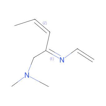 C=C/N=C(\C=C/C)CN(C)C